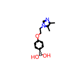 Cc1ncn(CCOc2ccc(B(O)O)cc2)c1C